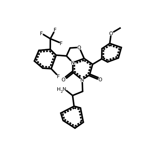 COc1cccc(-c2c3n(c(=O)n(CC(N)c4ccccc4)c2=O)C(c2c(F)cccc2C(F)(F)F)CO3)c1